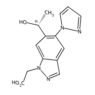 C[C@@H](O)c1cc2c(cnn2CC(=O)O)cc1-n1cccn1